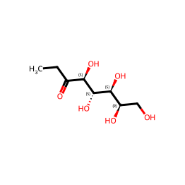 CCC(=O)[C@@H](O)[C@@H](O)[C@@H](O)[C@H](O)CO